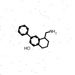 Cl.NCC1CCCc2ccc(-c3ccccc3)cc21